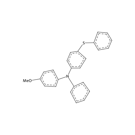 COc1ccc(N(c2ccccc2)c2ccc(Sc3ccccc3)cc2)cc1